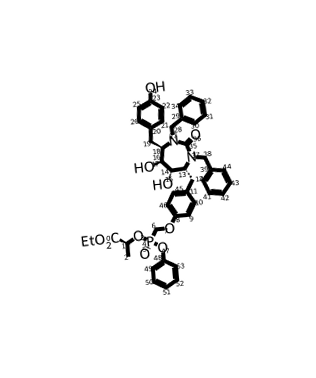 CCOC(=O)[C@H](C)OP(=O)(COc1ccc(C[C@@H]2[C@H](O)[C@@H](O)[C@@H](Cc3ccc(O)cc3)N(Cc3ccccc3)C(=O)N2Cc2ccccc2)cc1)Oc1ccccc1